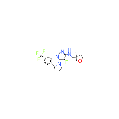 CC1(CNc2ncnc(N3CCCC3c3ccc(C(F)(F)F)cc3)c2F)CCOC1